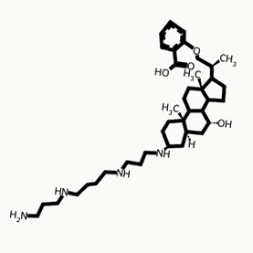 C[C@H](COc1ccccc1C(=O)O)C1CCC2C3C(CC[C@@]21C)[C@@]1(C)CC[C@H](NCCCNCCCCNCCCN)C[C@@H]1C[C@H]3O